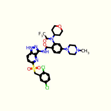 CN1CCN(c2ccc(C(=O)Nc3n[nH]c4ccc(S(=O)(=O)Cc5cc(Cl)ccc5Cl)nc34)c(N(C(=O)C(F)(F)F)C3CCOCC3)c2)CC1